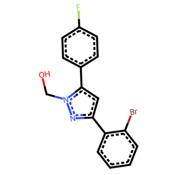 OCn1nc(-c2ccccc2Br)cc1-c1ccc(F)cc1